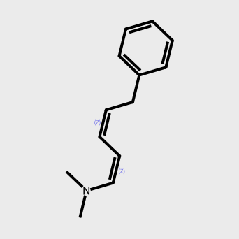 CN(C)/C=C\C=C/Cc1ccccc1